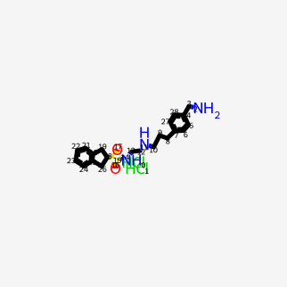 Cl.Cl.NCc1ccc(CCCNCCNS(=O)(=O)C2Cc3ccccc3C2)cc1